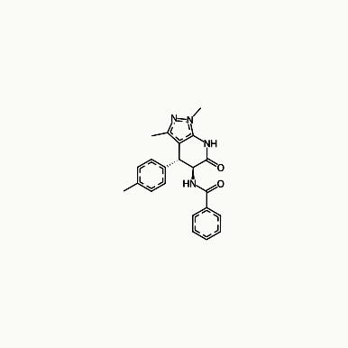 Cc1ccc([C@@H]2c3c(C)nn(C)c3NC(=O)[C@H]2NC(=O)c2ccccc2)cc1